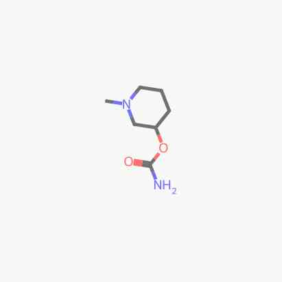 CN1CCCC(OC(N)=O)C1